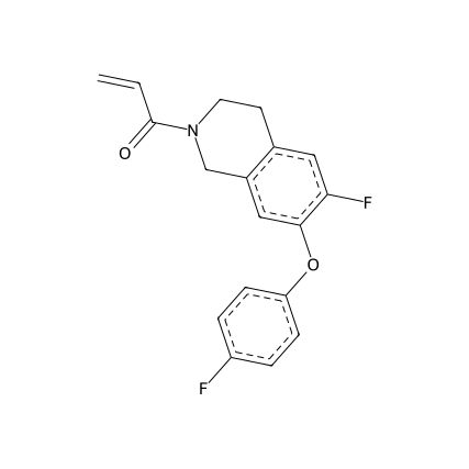 C=CC(=O)N1CCc2cc(F)c(Oc3ccc(F)cc3)cc2C1